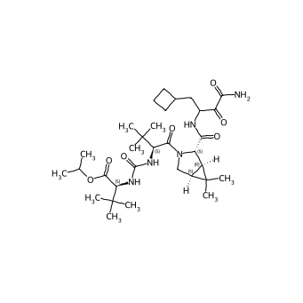 CC(C)OC(=O)[C@@H](NC(=O)N[C@H](C(=O)N1C[C@H]2[C@@H]([C@H]1C(=O)NC(CC1CCC1)C(=O)C(N)=O)C2(C)C)C(C)(C)C)C(C)(C)C